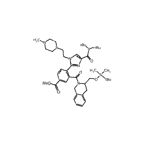 CCCCN(CCCC)C(=O)c1cn(CCN2CCN(C)CC2)c(-c2ccc(C(=O)OC)cc2C(=O)N2Cc3ccccc3CC2CO[Si](C)(C)C(C)(C)C)n1